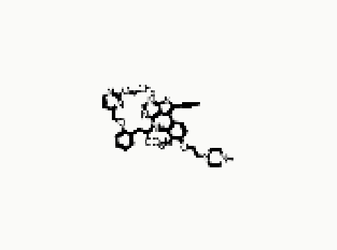 CC#Cc1sc2ncnc(N[C@H](Cc3ccccc3OCc3ccnc(OCC(F)(F)F)n3)C(=O)O)c2c1-c1ccc(OCCN2CCN(C)CC2)c(Cl)c1C